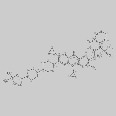 CC(C)(C)OC(=O)N1CCN(C2CCN(c3cc(OC4CC4)c(Nc4ncc(Br)c(Nc5cnc6ccccc6c5P(C)(C)=O)n4)cc3C3CC3)CC2)CC1